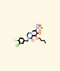 CCCCOc1c2n(cc(NS(C)(=O)=O)c1=O)CCN(Cc1ccc(F)c(Cl)c1)C2=O